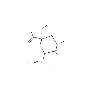 CC[C@@H](C)[C@@H](OC(C)=O)C1O[C@@](SC(C)=O)(C(=O)OC)C[C@@H](C)[C@H]1C